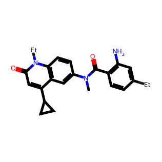 CCc1ccc(C(=O)N(C)c2ccc3c(c2)c(C2CC2)cc(=O)n3CC)c(N)c1